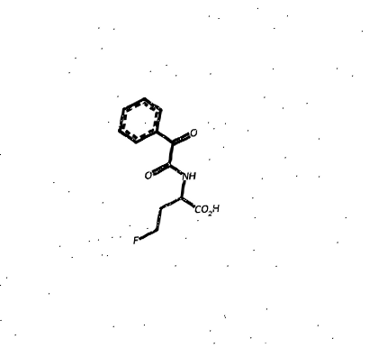 O=C(NC(CCF)C(=O)O)C(=O)c1ccccc1